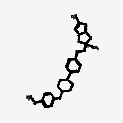 C[C@@]1(COc2ccc(N3CCC(Oc4ccc(OC(F)(F)F)cc4)CC3)cc2)Cn2cc([N+](=O)[O-])nc2O1